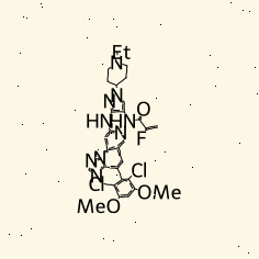 C=C(F)C(=O)Nc1cn(C2CCN(CC)CC2)nc1Nc1cc2c(cn1)cc(-c1c(Cl)c(OC)cc(OC)c1Cl)c1ncnn12